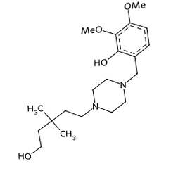 COc1ccc(CN2CCN(CCC(C)(C)CCO)CC2)c(O)c1OC